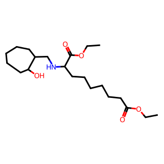 CCOC(=O)CCCCCCC(NCC1CCCCCC1O)C(=O)OCC